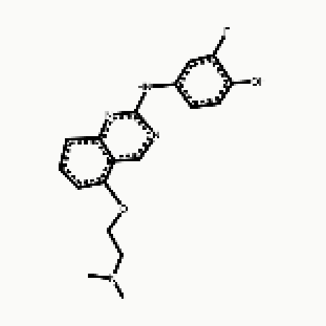 CN(C)CCOc1cccc2nc(Nc3ccc(O)c(F)c3)ncc12